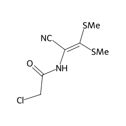 CSC(SC)=C(C#N)NC(=O)CCl